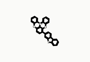 S=P12c3ccccc3Oc3ccc(-c4ccc5c(c4)sc4ccccc45)c(c31)Oc1ccccc12